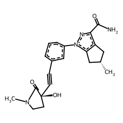 C[C@H]1Cc2c(C(N)=O)nn(-c3cccc(C#C[C@]4(O)CCN(C)C4=O)c3)c2C1